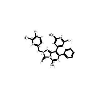 Cc1cc(-c2c(-c3ccccc3)nc(N)n3c(=O)n(Cc4ccc(F)c(N)n4)nc23)cc(C)n1